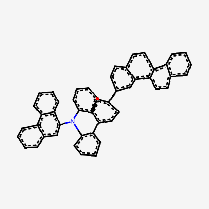 c1ccc(N(c2ccccc2-c2ccc(-c3ccc4ccc5c6ccccc6ccc5c4c3)cc2)c2cc3ccccc3c3ccccc23)cc1